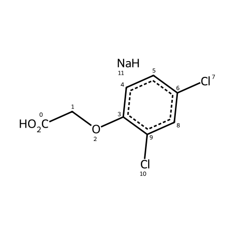 O=C(O)COc1ccc(Cl)cc1Cl.[NaH]